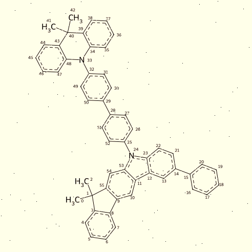 CC1(C)c2ccccc2-c2cc3c4cc(-c5ccccc5)ccc4n(-c4ccc(-c5ccc(N6c7ccccc7C(C)(C)c7ccccc76)cc5)cc4)c3cc21